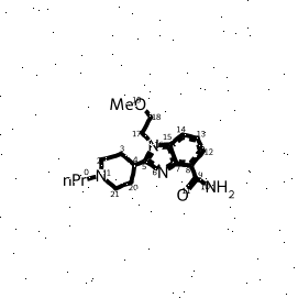 CCCN1CCC(c2nc3c(C(N)=O)cccc3n2CCOC)CC1